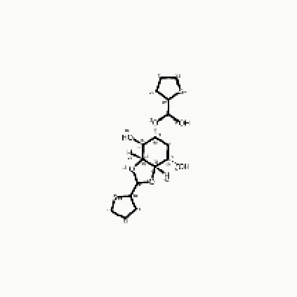 OC(O[C@@H]1C[C@H](O)[C@@H]2OC(C3CCCS3)O[C@@H]2[C@H]1O)C1CCCS1